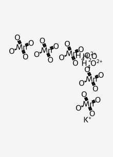 O.[K+].[OH4+2].[OH4+2].[O]=[Mn](=[O])(=[O])[O-].[O]=[Mn](=[O])(=[O])[O-].[O]=[Mn](=[O])(=[O])[O-].[O]=[Mn](=[O])(=[O])[O-].[O]=[Mn](=[O])(=[O])[O-]